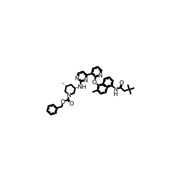 Cc1ccc2c(NC(=O)CC(C)(C)C)cccc2c1Oc1ncccc1-c1ccnc(N[C@H]2C[C@@H](C)CN(C(=O)OCc3ccccc3)C2)n1